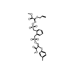 C=CCS/C(=N/OS(=O)(=O)Cc1ccccc1CS(=O)(=O)O/N=C(/Sc1ccc(C)cc1)C(=O)OC)C(=O)OC